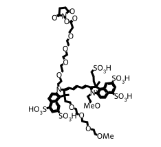 COCCOCCOCCOCCC1(C)\C(=C/C=C/C=C/C2=[N+](CCOC)c3ccc4c(S(=O)(=O)O)cc(S(=O)(=O)O)cc4c3C2(C)CCCS(=O)(=O)O)N(CCOCCOCCOCCOCCC(=O)ON2C(=O)CCC2=O)c2ccc3c(S(=O)(=O)O)cc(S(=O)(=O)O)cc3c21